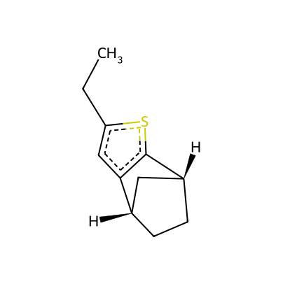 CCc1cc2c(s1)[C@@H]1CC[C@H]2C1